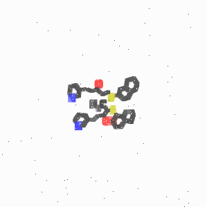 CC(Sc1cccc2ccccc12)C(O)CCc1cccnc1.O=C(CCSc1ccc2ccccc2c1)CCc1cccnc1